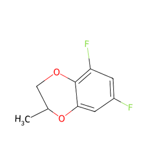 CC1COc2c(F)cc(F)cc2O1